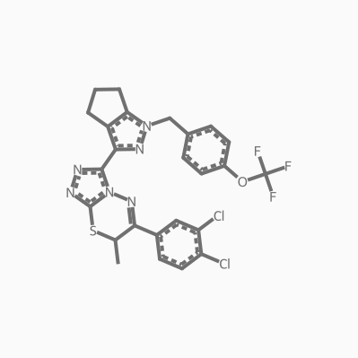 CC1Sc2nnc(-c3nn(Cc4ccc(OC(F)(F)F)cc4)c4c3CCC4)n2N=C1c1ccc(Cl)c(Cl)c1